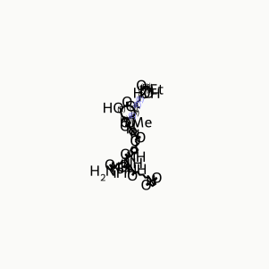 CC[C@H](O)[C@@H](C)[C@H]1O[C@@H]1C[C@@](C)(O)/C=C/C=C(\C)[C@H]1OC(=O)C[C@H](O)CC[C@@](C)(OC)[C@@H](OC(=O)N2CCN(C(=O)OCc3ccc(NC(=O)[C@H](CCCNC(N)=O)NC(=O)[C@@H](NC(=O)CCCCCN4C(=O)CCC4=O)C(C)C)cc3)CC2)/C=C/[C@@H]1C